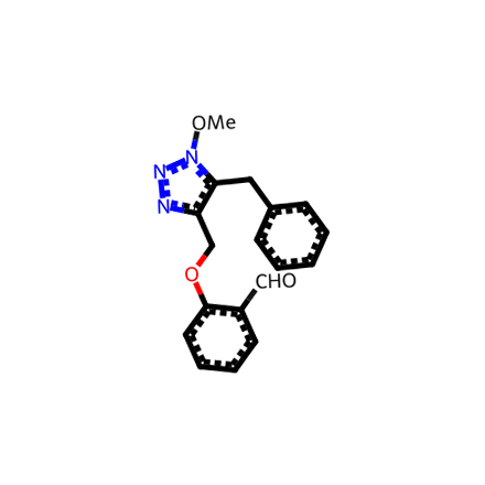 COn1nnc(COc2ccccc2C=O)c1Cc1ccccc1